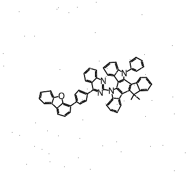 CC1(C)c2ccccc2-c2c1c1c3ccccc3n(-c3nc(-c4ccc(-c5cccc6c5oc5ccccc56)cc4)c4ccccc4n3)c1c1c3ccccc3n(-c3ccccc3)c21